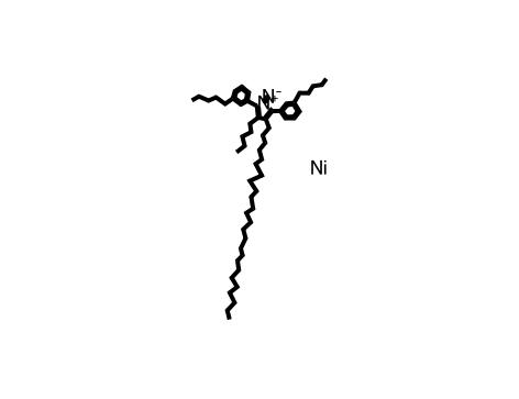 CCCCCCCCCCCCCCCCCCCCCCCCCC1=C(c2cccc(CCCCC)c2)[N+](=[N-])C(c2cccc(CCCCC)c2)=C1CCCCC.[Ni]